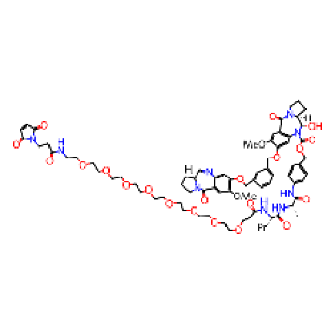 COc1cc2c(cc1OCc1cccc(COc3cc4c(cc3OC)C(=O)N3CCC[C@H]3[C@H](O)N4C(=O)OCc3ccc(NC(=O)[C@H](C)NC(=O)[C@@H](NC(=O)CCOCCOCCOCCOCCOCCOCCOCCOCCNC(=O)CCN4C(=O)C=CC4=O)C(C)C)cc3)c1)N=C[C@@H]1CCCN1C2=O